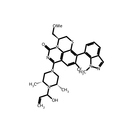 C=CC(O)N1[C@H](C)CN(c2nc(=O)n3c4c(c(-c5cccc6cnn(C)c56)c(C(F)(F)F)cc24)SC[C@@H]3COC)C[C@@H]1C